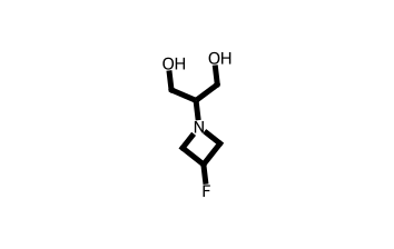 OCC(CO)N1CC(F)C1